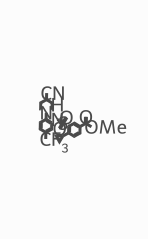 COC(=O)c1ccc(C2CC2)c(S(=O)(=O)Nc2cc(C(F)(F)F)ccc2N2CCC(C#N)CC2)c1